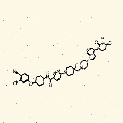 N#Cc1ccc(OC2CCC(NC(=O)c3ccc(N4CCC(F)(CN5CCC(n6ccc7c(N8CCC(=O)NC8=O)cncc76)CC5)CC4)nn3)CC2)cc1Cl